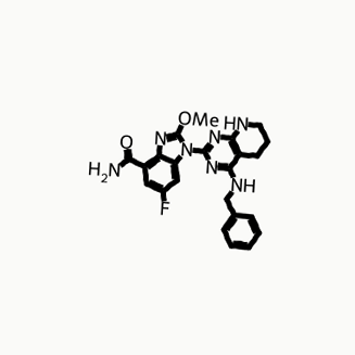 COc1nc2c(C(N)=O)cc(F)cc2n1-c1nc2c(c(NCc3ccccc3)n1)CCCN2